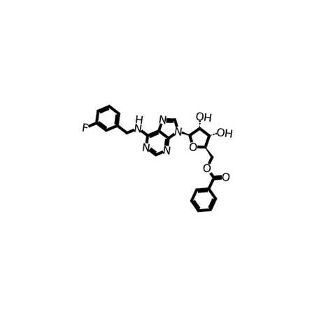 O=C(OC[C@H]1O[C@@H](n2cnc3c(NCc4cccc(F)c4)ncnc32)[C@H](O)[C@@H]1O)c1ccccc1